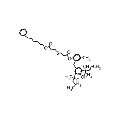 CCCC(C)(C)c1cc(Cc2cc(C)ccc2OC(=O)CCSCCC(=O)OCCCCCCc2ccccc2)cc(C(C)(C)CCC)c1O